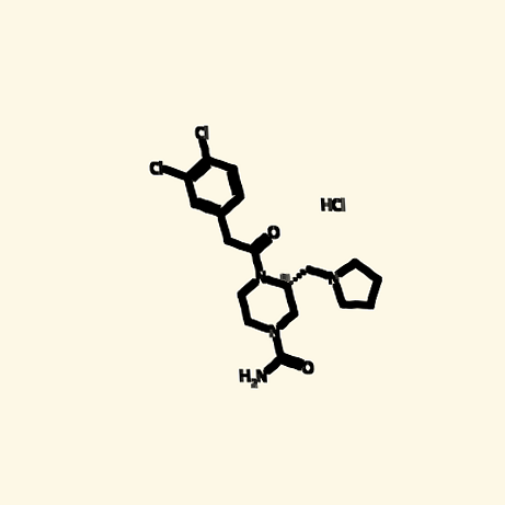 Cl.NC(=O)N1CCN(C(=O)Cc2ccc(Cl)c(Cl)c2)[C@H](CN2CCCC2)C1